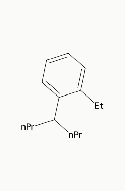 CCCC(CCC)c1ccccc1CC